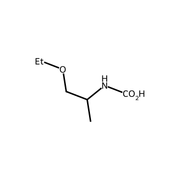 CCOCC(C)NC(=O)O